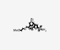 CCN1CC2(CCOCCOC)CC1c1cc(S(N)(=O)=O)sc1S2(=O)=O